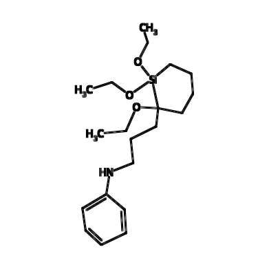 CCOC1(CCCNc2ccccc2)CCCC[Si]1(OCC)OCC